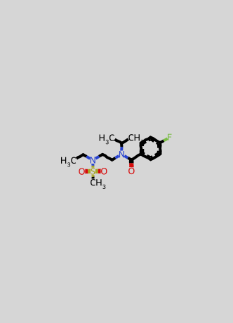 CCN(CCN(C(=O)c1ccc(F)cc1)C(C)C)S(C)(=O)=O